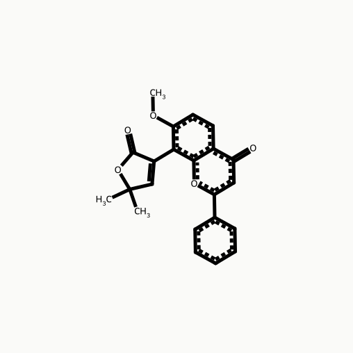 COc1ccc2c(=O)cc(-c3ccccc3)oc2c1C1=CC(C)(C)OC1=O